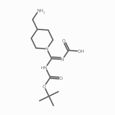 CC(C)(C)OC(=O)NC(=NC(=O)O)N1CCC(CN)CC1